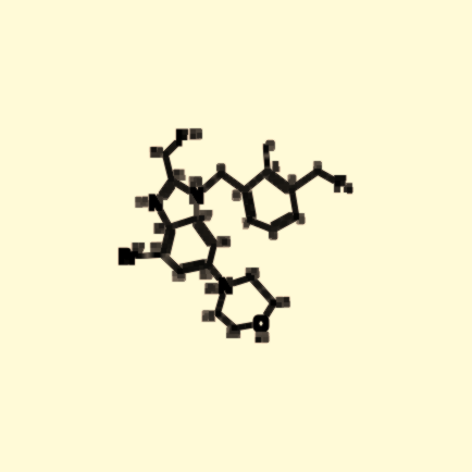 Cc1c(CF)cccc1Cn1c(CF)nc2c(Br)cc(N3CCOCC3)cc21